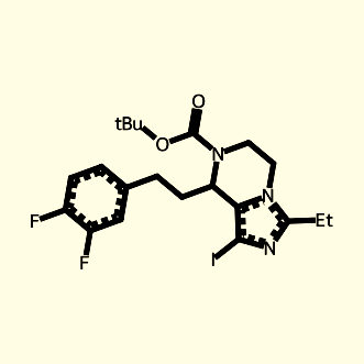 CCc1nc(I)c2n1CCN(C(=O)OC(C)(C)C)C2CCc1ccc(F)c(F)c1